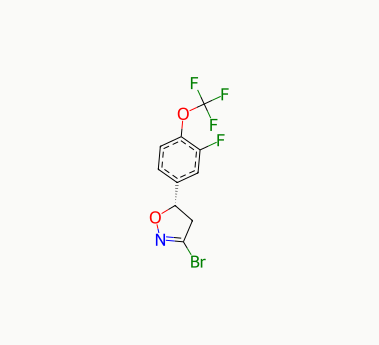 Fc1cc([C@@H]2CC(Br)=NO2)ccc1OC(F)(F)F